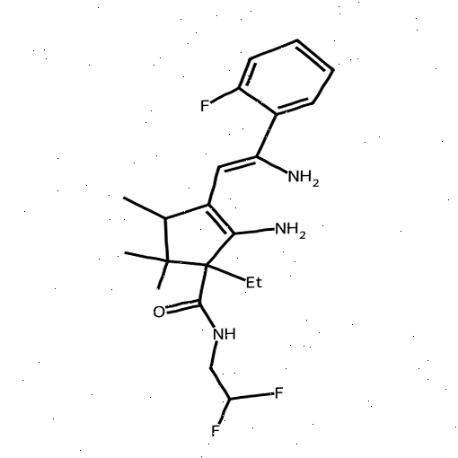 CCC1(C(=O)NCC(F)F)C(N)=C(/C=C(\N)c2ccccc2F)C(C)C1(C)C